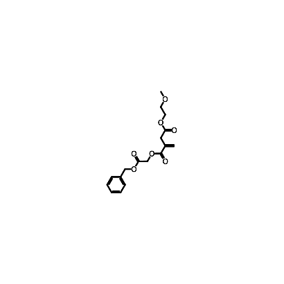 C=C(CC(=O)OCCOC)C(=O)OCC(=O)OCc1ccccc1